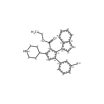 CCOC(=O)n1c(C2CCNCC2)nc(-c2cccc(F)c2)c1-n1cnc2ccccc21